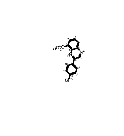 O=C(O)c1cccc2ncc(-c3ccc(Br)cc3)nc12